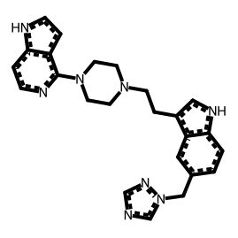 c1cc2[nH]ccc2c(N2CCN(CCc3c[nH]c4ccc(Cn5cncn5)cc34)CC2)n1